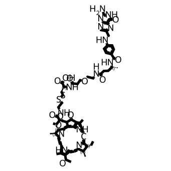 CC[C@H]1c2cc3[nH]c4c(c3C)C(=O)C(C(=O)OC)c4c3nc(cc4[nH]c(cc(n2)[C@@H]1C)c(C(C)=O)c4C)[C@@H](C)[C@@H]3CCC(=O)NCCSSC[C@H](NC(=O)CCOCCNC(=O)CC[C@@H](C)NC(=O)c1ccc(NCc2cnc3nc(N)[nH]c(=O)c3n2)cc1)C(=O)O